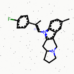 C/C(=C\n1c2c(c3cc(C)ccc31)CN1CCCC1C2)c1ccc(F)cc1